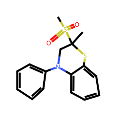 CC1(S(C)(=O)=O)CN(c2ccccc2)c2ccccc2S1